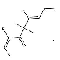 C=C/C=C(\C)C(C)(C)C(=C)/C(F)=C\C